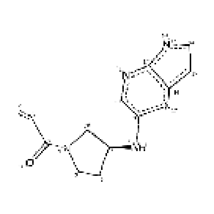 C=CC(=O)N1CC[C@H](Nc2cnc3[nH]ccc3n2)C1